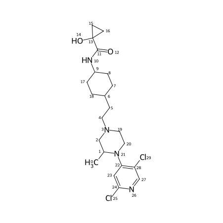 CC1CN(CCC2CCC(NC(=O)C3(O)CC3)CC2)CCN1c1cc(Cl)ncc1Cl